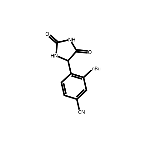 CCCCc1cc(C#N)ccc1C1NC(=O)NC1=O